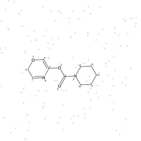 O=C(OC1=COCC=N1)N1CCCCC1